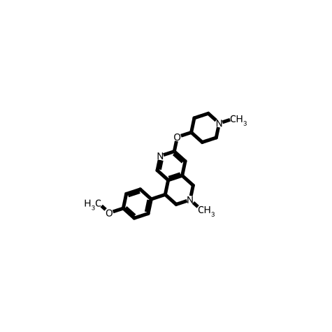 COc1ccc(C2CN(C)Cc3cc(OC4CCN(C)CC4)ncc32)cc1